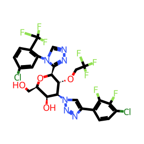 OC[C@H]1O[C@@H](c2nncn2-c2cc(Cl)ccc2C(F)(F)F)[C@H](OCC(F)(F)F)[C@@H](n2cc(-c3ccc(Cl)c(F)c3F)nn2)[C@H]1O